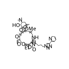 CC[C@H]1OC(=O)C(C)(F)C(=O)[C@H](C)[C@@H](O[C@@H]2O[C@H](C)CC(N(C)C)C2O)[C@](C)(OC)C[C@@H](C)CN[C@H](C)[C@H]2N(CCCCn3cc(-c4ccccn4)nn3)C(=O)O[C@]12C